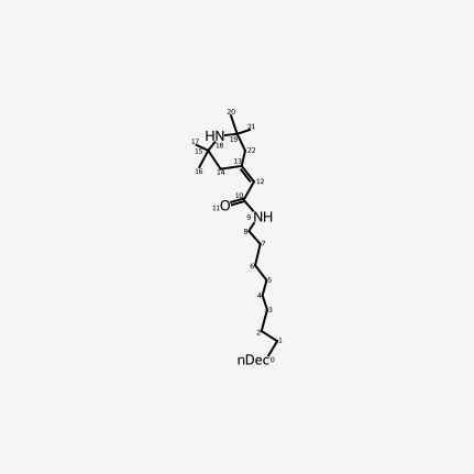 CCCCCCCCCCCCCCCCCCNC(=O)C=C1CC(C)(C)NC(C)(C)C1